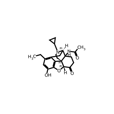 CCc1cc(O)c2c3c1C[C@H]1N(C4CC4)CC[C@@]34[C@@H](O2)C(=O)CCC14NC(C)=O